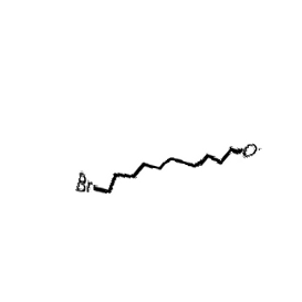 [O]CCCCCCCCCCBr